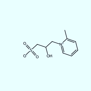 Cc1cccc[n+]1CC(O)CS(=O)(=O)[O-]